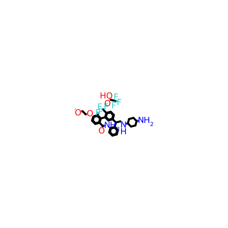 COCCOc1ccc(C(N)=O)c(-c2cc(C(CNC3CCC(N)CC3)c3ccccc3)ccc2C(F)(F)F)c1F.O=C(O)C(F)(F)F